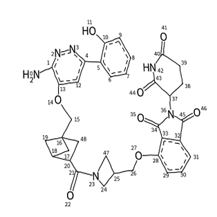 Nc1nnc(-c2ccccc2O)cc1OCC12CC(C1)C(C(=O)N1CC(COc3cccc4c3C(=O)N(C3CCC(=O)NC3=O)C4=O)C1)C2